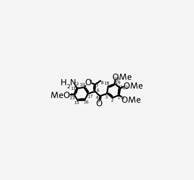 COc1cc(C(=O)c2c(C)oc3c(N)c(OC)ccc23)cc(OC)c1OC